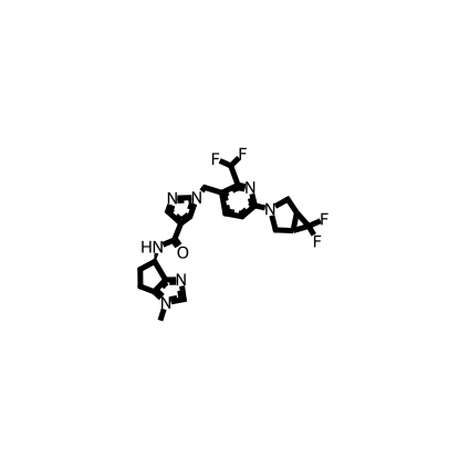 Cn1cnc2c1CC[C@H]2NC(=O)c1cnn(Cc2ccc(N3CC4C(C3)C4(F)F)nc2C(F)F)c1